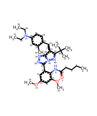 CCCCC(=O)Nc1c(OC)cc(OC)cc1-c1nnc2/c(=C\c3ccc(N(CC)CC)cc3C)c(C(C)(C)C)nn12